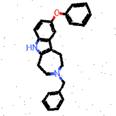 c1ccc(CN2CCc3[nH]c4ccc(Oc5ccccc5)cc4c3CC2)cc1